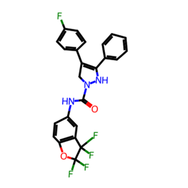 O=C(Nc1ccc2c(c1)C(F)(F)C(F)(F)O2)N1CC(c2ccc(F)cc2)=C(c2ccccc2)N1